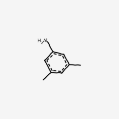 Cc1cc(C)c[c]([AlH2])c1